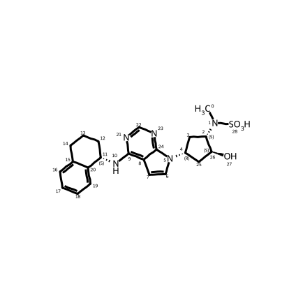 CN([C@H]1C[C@@H](n2ccc3c(N[C@H]4CCCc5ccccc54)ncnc32)C[C@@H]1O)S(=O)(=O)O